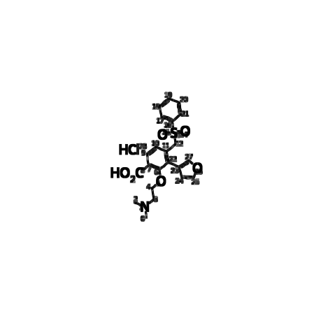 CN(C)CCOc1c(C(=O)O)ccc(CS(=O)(=O)c2ccccc2)c1-c1ccoc1.Cl